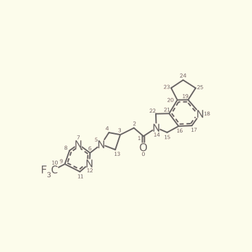 O=C(CC1CN(c2ncc(C(F)(F)F)cn2)C1)N1Cc2cnc3c(c2C1)CCC3